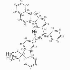 CCC1(CC)c2ccccc2-c2cc(-c3nc(-c4ccccc4)c4ccc5sc6c7ccccc7ccc6c5c4n3)ccc21